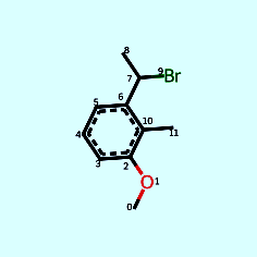 COc1cccc(C(C)Br)c1C